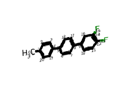 Cc1ccc(-c2ccc(-c3ccc(F)c(F)c3)cc2)cc1